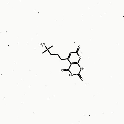 CC(C)(N)CCCc1cc(=O)oc2[nH]c(=O)[nH]c(=O)c12